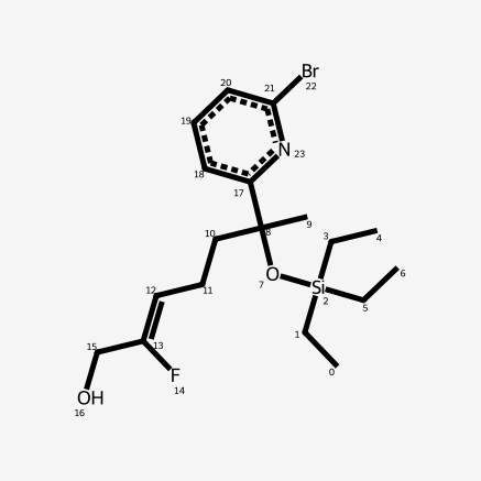 CC[Si](CC)(CC)OC(C)(CCC=C(F)CO)c1cccc(Br)n1